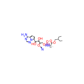 CCC(CC)COC(=O)[C@H](C)N[PH](=O)OC[C@@H](OC#N)[C@@H](O)[C@@H](O)c1ccc2c(N)ncnn12